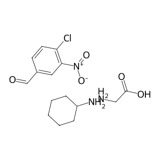 NC1CCCCC1.NCC(=O)O.O=Cc1ccc(Cl)c([N+](=O)[O-])c1